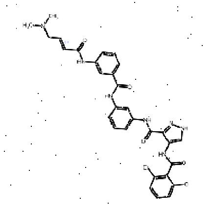 CN(C)C/C=C/C(=O)Nc1cccc(C(=O)Nc2cccc(NC(=O)c3n[nH]cc3NC(=O)c3c(Cl)cccc3Cl)c2)c1